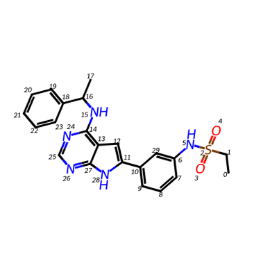 CCS(=O)(=O)Nc1cccc(-c2cc3c(NC(C)c4ccccc4)ncnc3[nH]2)c1